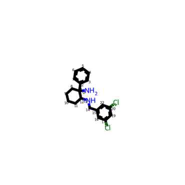 NC1(c2ccccc2)CCCCC1NCc1cc(Cl)cc(Cl)c1